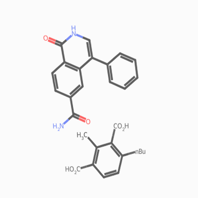 CCCCc1ccc(C(=O)O)c(C)c1C(=O)O.NC(=O)c1ccc2c(=O)[nH]cc(-c3ccccc3)c2c1